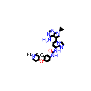 CCN1CCC(Oc2ccc(NC(=O)Nc3ccc(-c4cn(C5CC5)c5ncnc(N)c45)n4ccnc34)cc2C(F)(F)F)CC1